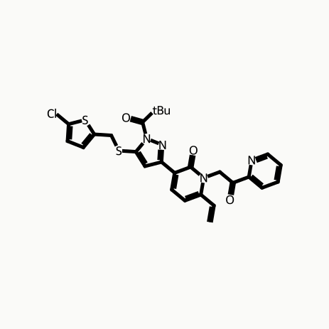 C=Cc1ccc(-c2cc(SCc3ccc(Cl)s3)n(C(=O)C(C)(C)C)n2)c(=O)n1CC(=O)c1ccccn1